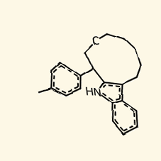 Cc1ccc(C2CCCCCCCc3c2[nH]c2ccccc32)cc1